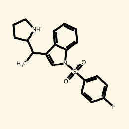 CC(c1cn(S(=O)(=O)c2ccc(F)cc2)c2ccccc12)C1CCCN1